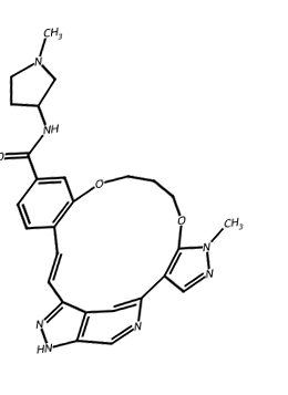 CN1CCC(NC(=O)c2ccc3c(c2)OCCCOc2c(cnn2C)-c2cc4c(n[nH]c4cn2)/C=C/3)C1